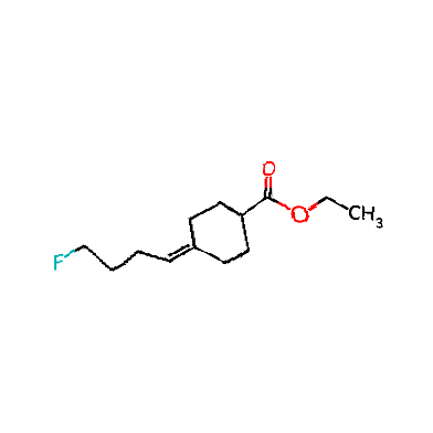 CCOC(=O)C1CCC(=CCCCF)CC1